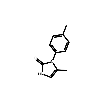 Cc1ccc(-n2c(C)c[nH]c2=O)cc1